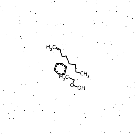 C=CCCCCCC.CCOO.c1ccccc1